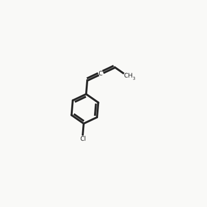 CC=C=Cc1ccc(Cl)cc1